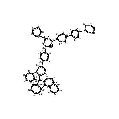 c1ccc(-c2ccc(-c3ccc(-c4nc(-c5ccccc5)nc(-c5ccc(-c6ccc(C7(c8ccccc8)c8ccccc8-c8c7ccc7ccccc87)cc6)cc5)n4)cc3)cc2)cc1